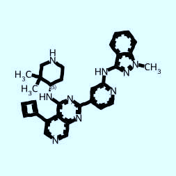 Cn1nc(Nc2cc(-c3nc(N[C@H]4CCNCC4(C)C)c4c(C5=CC=C5)cncc4n3)ccn2)c2ccccc21